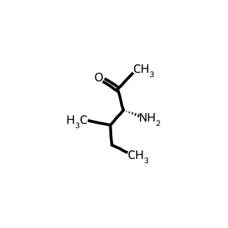 CCC(C)[C@@H](N)C(C)=O